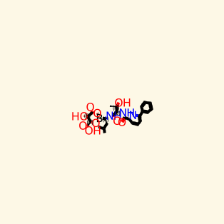 CC(C)C[C@H](NC(=O)[C@@H](NC(=O)c1cccc(-c2ccccc2)n1)[C@@H](C)O)B1OC(=O)[C@@H](O)[C@H](C(=O)O)O1